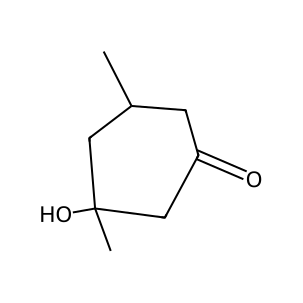 CC1CC(=O)CC(C)(O)C1